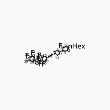 CCCCCCc1ccc(-c2ccc(C#Cc3cc(F)c(C(F)(F)Oc4cc(F)c(F)c(F)c4)c(F)c3)cc2)c(F)c1